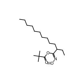 CCCCCCCCCCC(CC)C(=NO)OC(=O)C(C)(C)C